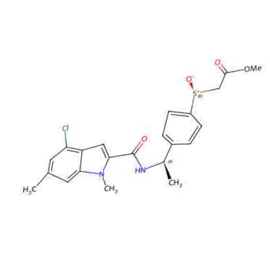 COC(=O)C[S@+]([O-])c1ccc([C@@H](C)NC(=O)c2cc3c(Cl)cc(C)cc3n2C)cc1